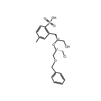 Cc1ccc(S(=O)(=O)O)c(C[C@@H](CO)O[C@H](CCl)COCc2ccccc2)c1